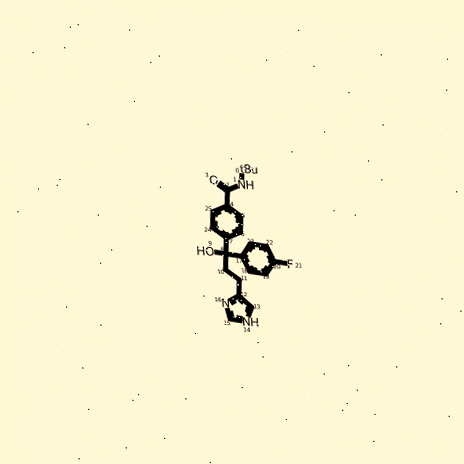 CC(C)(C)NC(=O)c1ccc(C(O)(CCc2c[nH]cn2)c2ccc(F)cc2)cc1